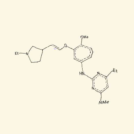 CCc1cc(NC)nc(Nc2ccc(OC)c(O/C=C/C3CCN(CC)C3)c2)n1